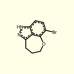 Brc1ccc2[nH]nc3c2c1OCCC3